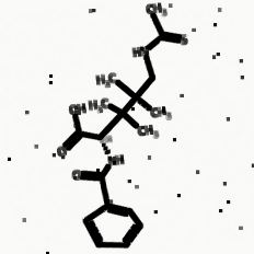 CC(=S)NCC(C)(C)C(C)(C)[C@H](NC(=O)c1ccccc1)C(=O)O